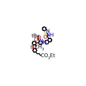 CCOC(=O)CCCc1ccc(Oc2cccc(-c3ccc(N4CCc5cccc(C(=O)Nc6nc7ccccc7s6)c5C4)nc3C(=O)OC(C)(C)C)c2C)cc1